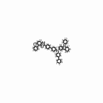 c1ccc(-c2ccc(N(c3ccc(-c4ccc(-c5nc6ccc7oc8ccccc8c7c6o5)cc4)cc3)c3ccc4c(c3)c3ccccc3n4-c3ccccc3)cc2)cc1